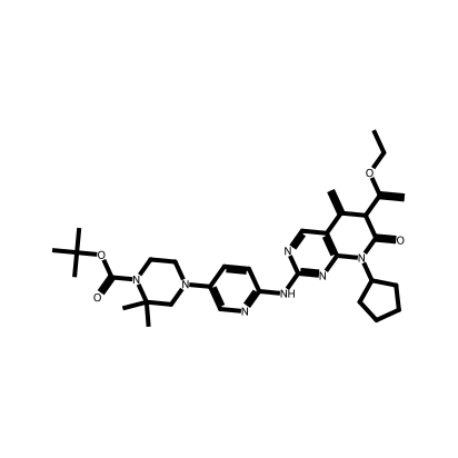 C=C(OCC)C1C(=C)c2cnc(Nc3ccc(N4CCN(C(=O)OC(C)(C)C)C(C)(C)C4)cn3)nc2N(C2CCCC2)C1=O